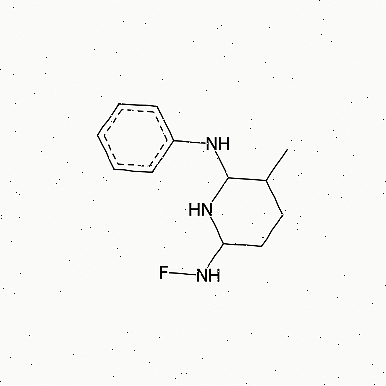 CC1CCC(NF)NC1Nc1ccccc1